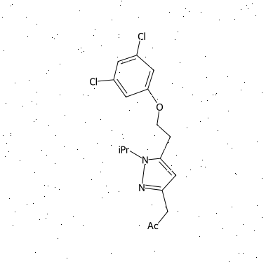 CC(=O)Cc1cc(CCOc2cc(Cl)cc(Cl)c2)n(C(C)C)n1